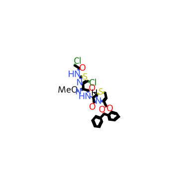 CON=C(C(=O)N[C@@H]1C(=O)N2C(C(=O)OC(c3ccccc3)c3ccccc3)=CCS[C@@H]12)c1nc(NC(=O)CCl)sc1Cl